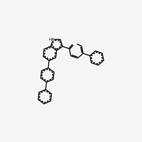 C=C(/C=C\C(=C/C)c1ccccc1)c1c[nH]c2ccc(-c3ccc(-c4ccccc4)cc3)cc12